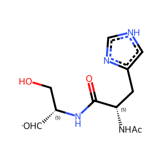 CC(=O)N[C@@H](Cc1c[nH]cn1)C(=O)N[C@H]([C]=O)CO